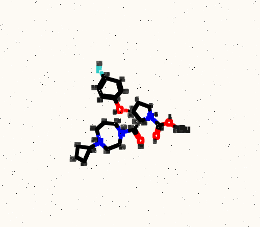 CC(C)(C)OC(=O)N1CC[C@@H](Oc2ccc(F)cc2)[C@H]1C(=O)N1CCCN(C2CCC2)CC1